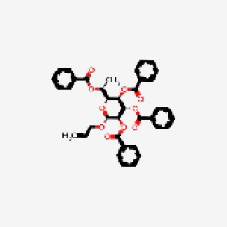 C=CCO[C@@H]1O[C@H]([C@@H](C)OC(=O)c2ccccc2)[C@@H](OC(=O)c2ccccc2)[C@H](OC(=O)c2ccccc2)[C@H]1OC(=O)c1ccccc1